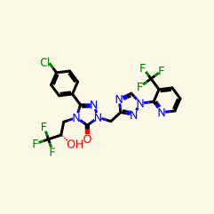 O=c1n(Cc2ncn(-c3ncccc3C(F)(F)F)n2)nc(-c2ccc(Cl)cc2)n1C[C@H](O)C(F)(F)F